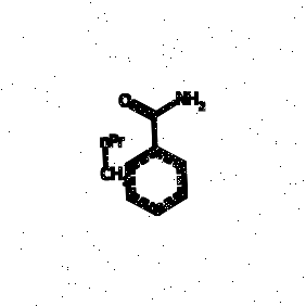 CCCC.NC(=O)c1ccccc1